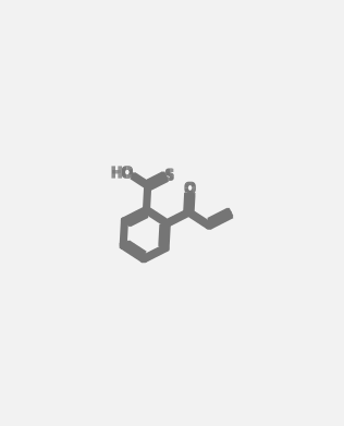 C=CC(=O)c1ccccc1C(O)=S